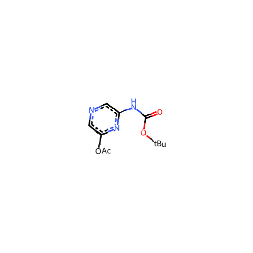 CC(=O)Oc1cncc(NC(=O)OC(C)(C)C)n1